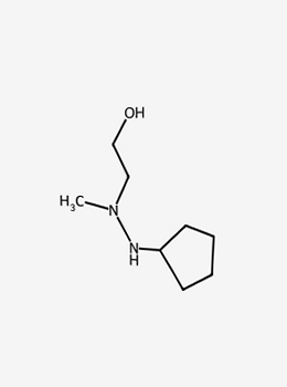 CN(CCO)NC1CCCC1